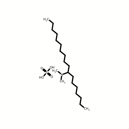 CCCCCCCCCCC(CCCCCCC)N(C)C.O=S(=O)(O)O